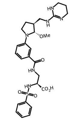 CO[C@H]1[C@H](CNC2=NCCCN2)CCN1c1cccc(C(=O)NC[C@H](NS(=O)(=O)c2ccccc2)C(=O)O)c1